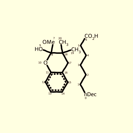 CCCCCCCCCCCCCCCC(=O)O.COC1(O)Oc2ccccc2CC1(C)C